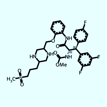 COC(=O)N[C@H](C(=O)Nc1ccccc1OCC1CNC(CCCS(C)(=O)=O)CN1)[C@@H](c1ccc(F)cc1)c1cc(F)cc(F)c1